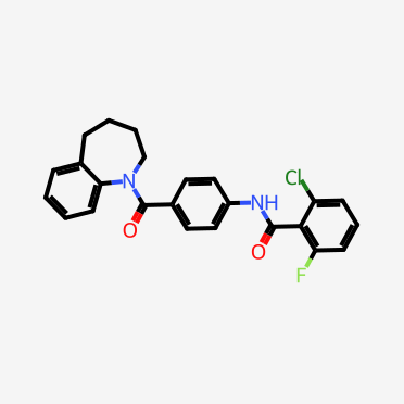 O=C(Nc1ccc(C(=O)N2CCCCc3ccccc32)cc1)c1c(F)cccc1Cl